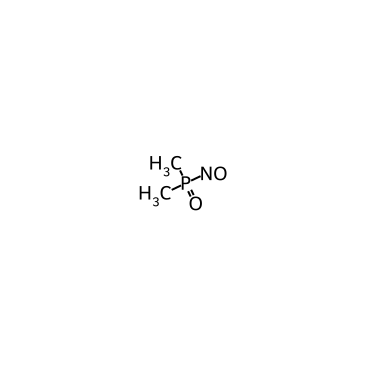 CP(C)(=O)N=O